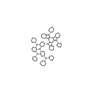 c1ccc(N(c2ccccc2)c2ccc3c(c2)N(c2ccccc2)c2cccc4c2B3c2cc(-n3c5ccccc5c5c6c(c7ccccc7n6-c6ccccc6)c6c(c7ccccc7n6-c6ccccc6)c53)ccc2N4c2ccccc2)cc1